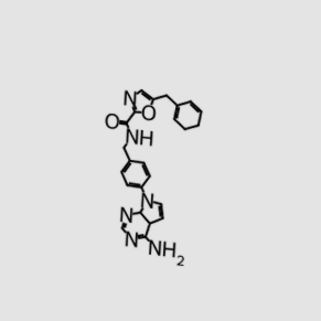 NC1=NC=NC2C1C=CN2c1ccc(CNC(=O)c2ncc(CC3=CCCC=C3)o2)cc1